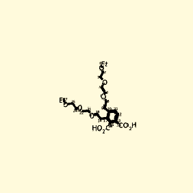 CCOCCOCCOCCc1ccc(C(=O)O)c(C(=O)O)c1CCOCCOCCOCC